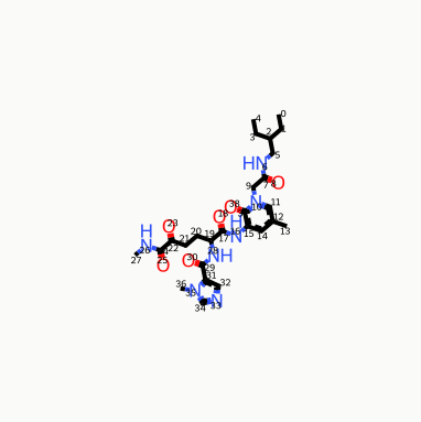 CCC(CC)CNC(=O)Cn1cc(C)cc(NC(=O)C(CCC(=O)C(=O)NC)NC(=O)c2cncn2C)c1=O